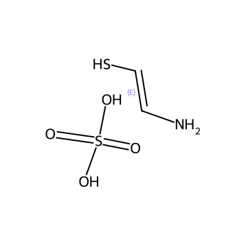 N/C=C/S.O=S(=O)(O)O